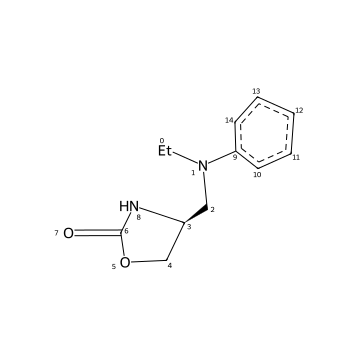 CCN(C[C@H]1COC(=O)N1)c1ccccc1